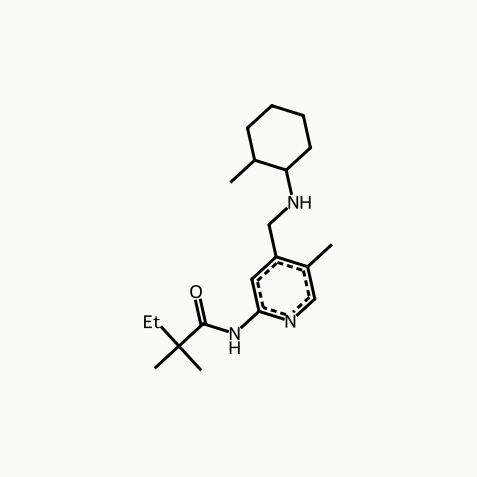 CCC(C)(C)C(=O)Nc1cc(CNC2CCCCC2C)c(C)cn1